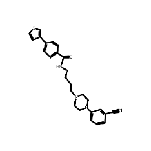 N#Cc1cccc(N2CCN(CCCCNC(=O)c3ccc(-c4ccsc4)cc3)CC2)c1